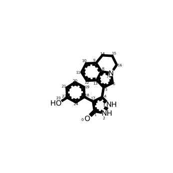 O=c1[nH][nH]c(-c2cn3c4c(cccc24)CCC3)c1-c1cccc(O)c1